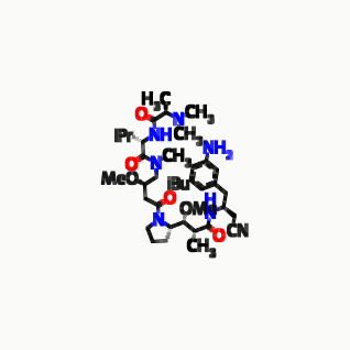 CC[C@H](C)[C@@H]([C@@H](CC(=O)N1CCC[C@H]1[C@H](OC)[C@@H](C)C(=O)N[C@H](CC#N)Cc1cccc(N)c1)OC)N(C)C(=O)[C@@H](NC(=O)[C@@H](C)N(C)C)C(C)C